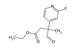 CCOC(=O)CC(C)(C=O)c1ccnc(F)c1